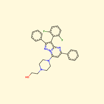 OCCN1CCN(c2cc(-c3ccccc3)nc3c(-c4c(F)cccc4F)c(-c4ccccc4)nn23)CC1